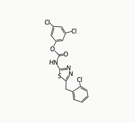 O=C(Nc1nnc(Cc2ccccc2Cl)s1)Oc1cc(Cl)cc(Cl)c1